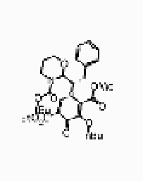 CCCCOc1c(C(=O)OC)n([C@@H](Cc2ccccc2)C2OCCCN2C(=O)OC(C)(C)C)cc(C(=O)OCC)c1=O